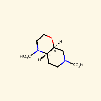 O=C(O)N1CC[C@H]2[C@H](C1)OCCN2C(=O)O